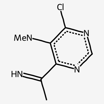 CNc1c(Cl)ncnc1C(C)=N